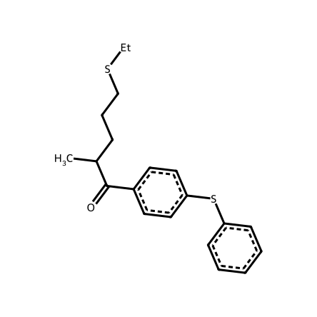 CCSCCCC(C)C(=O)c1ccc(Sc2ccccc2)cc1